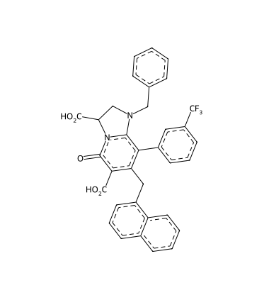 O=C(O)c1c(Cc2cccc3ccccc23)c(-c2cccc(C(F)(F)F)c2)c2n(c1=O)C(C(=O)O)CN2Cc1ccccc1